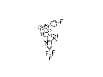 C[C@H](O)c1cc(C(F)(F)F)cnc1-c1ccc(C2(C(=O)Nc3ccc(F)cc3)COC2)nc1